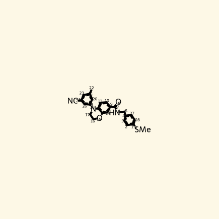 CSc1ccc(CNC(=O)c2ccc3c(c2)OCCN3c2cc(C)cc(C#N)c2)cc1